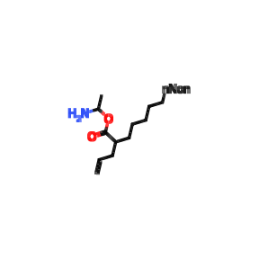 C=CCC(CCCCCCCCCCCCCC)C(=O)OC(C)N